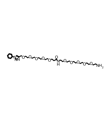 NCCOCCOCCOCCOCCOCCNC(=O)CCOCCOCCOCCOCCOCc1cn(-c2ccccc2)nn1